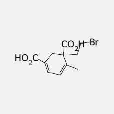 CC1=CC=C(C(=O)O)CC1(CCBr)C(=O)O